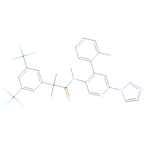 Cc1ccccc1-c1cc(-n2ccnc2)ncc1N(C)C(=O)C(C)(C)c1cc(C(F)(F)F)cc(C(F)(F)F)c1